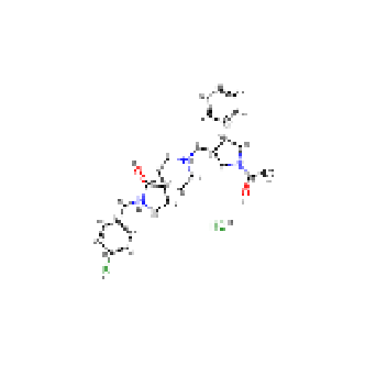 CCC(=O)N1CC(CN2CCC3(CC2)CCN(Cc2ccc(Br)cc2)C3=O)C(c2ccccc2)C1.Cl